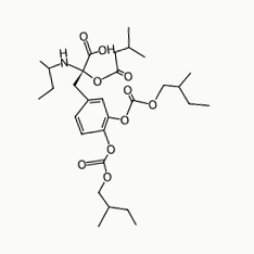 CCC(C)COC(=O)Oc1ccc(C[C@](NC(C)CC)(OC(=O)CC(C)C)C(=O)O)cc1OC(=O)OCC(C)CC